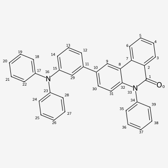 O=c1c2ccccc2c2cc(-c3cccc(N(c4ccccc4)c4ccccc4)c3)ccc2n1-c1ccccc1